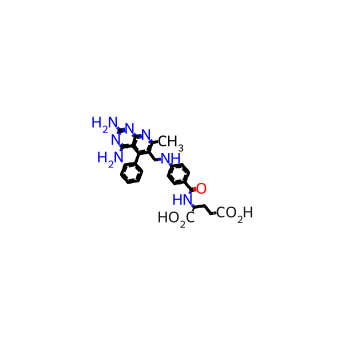 Cc1nc2nc(N)nc(N)c2c(-c2ccccc2)c1CNc1ccc(C(=O)N[C@@H](CCC(=O)O)C(=O)O)cc1